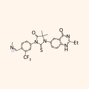 CCc1nc(=O)c2cc(N3C(=S)N(c4ccc(/C=N\C)c(C(F)(F)F)c4)C(=O)C3(C)C)ccc2[nH]1